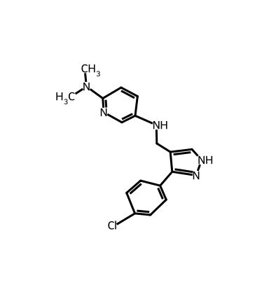 CN(C)c1ccc(NCc2c[nH]nc2-c2ccc(Cl)cc2)cn1